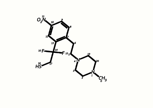 CN1CCN(CCc2ccc([N+](=O)[O-])cc2C(F)(F)CS)CC1